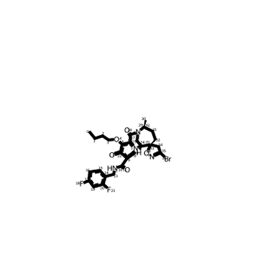 CCCCOc1c2n(cc(C(=O)NCc3ccc(F)cc3F)c1=O)[C@@H]1CN(C2=O)[C@@H](C)CC[C@]12CC(Br)=NO2